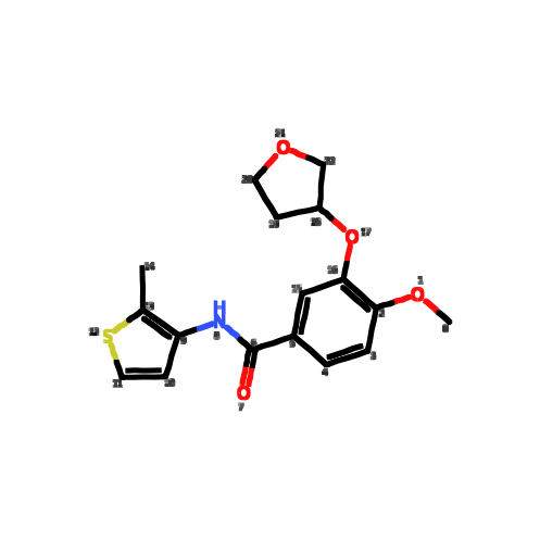 COc1ccc(C(=O)Nc2ccsc2C)cc1OC1CCOC1